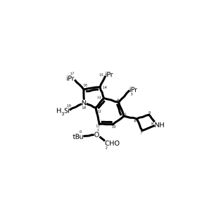 CC(C)(C)OC=O.CC(C)c1c(C2CNC2)ccc2c1c(C(C)C)c(C(C)C)n2[SiH3]